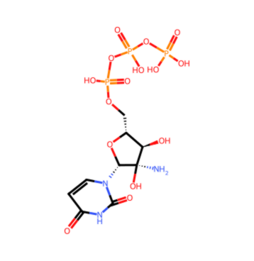 N[C@@]1(O)[C@H](O)[C@@H](COP(=O)(O)OP(=O)(O)OP(=O)(O)O)O[C@H]1n1ccc(=O)[nH]c1=O